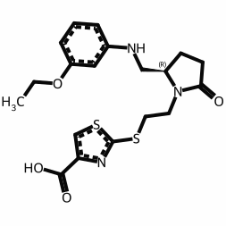 CCOc1cccc(NC[C@H]2CCC(=O)N2CCSc2nc(C(=O)O)cs2)c1